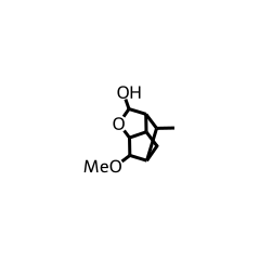 COC1C2CC3C1OC(O)C3C2C